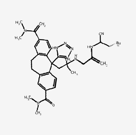 C=C(CNC(C)(C)CC1(c2nnn[nH]2)c2ccc(C(=C)N(C)C)cc2CCc2cc(C(=O)N(C)C)ccc21)NC(C#N)C[C@@H](C)CC